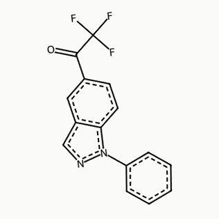 O=C(c1ccc2c(cnn2-c2ccccc2)c1)C(F)(F)F